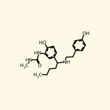 CCCCC(NCCc1ccc(O)cc1)c1ccc(O)c(NC(=O)NC)c1